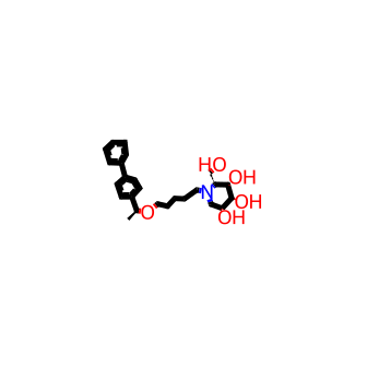 C[C@H](OCCCCCN1CC(O)[C@@H](O)[C@H](O)[C@H]1CO)c1ccc(-c2ccccc2)cc1